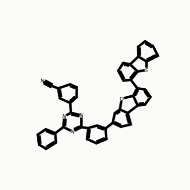 N#Cc1cccc(-c2nc(-c3ccccc3)nc(-c3cccc(-c4ccc5c(c4)oc4c(-c6cccc7c6sc6ccccc67)cccc45)c3)n2)c1